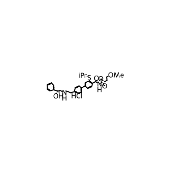 COCCS(=O)(=O)NC(=O)c1ccc(-c2ccc(CCNC[C@H](O)c3ccccc3)cc2)cc1SC(C)C.Cl